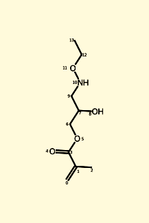 C=C(C)C(=O)OCC(O)CNOCC